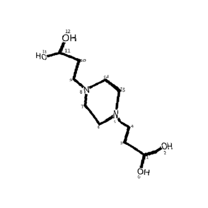 OC(O)CCN1CCN(CCC(O)O)CC1